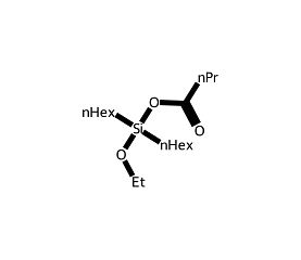 CCCCCC[Si](CCCCCC)(OCC)OC(=O)CCC